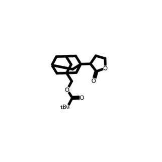 CC(C)(C)C(=O)OCC12CC3CC(C1)CC(C1CCOC1=O)(C3)C2